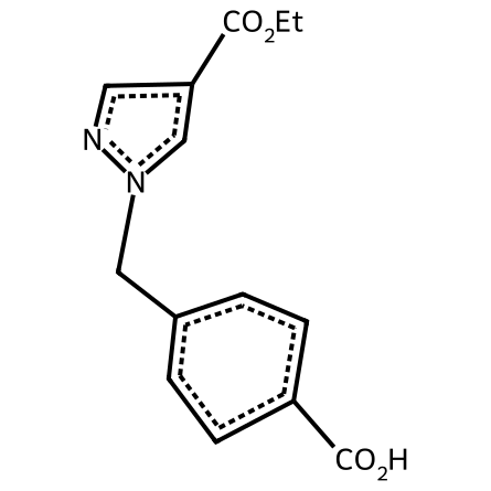 CCOC(=O)c1cnn(Cc2ccc(C(=O)O)cc2)c1